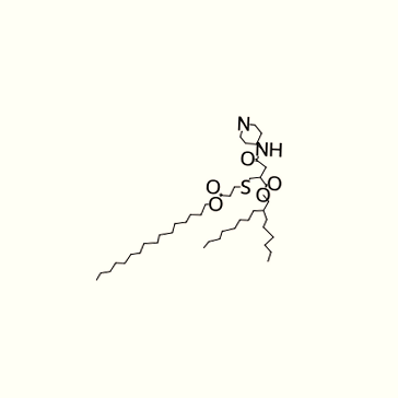 CCCCCCCCCCCCCCCCOC(=O)CCSCC(CC(=O)NC1CCN(C)CC1)C(=O)OCC(CCCCCC)CCCCCCCC